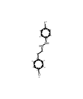 Fc1ccc(NNCCc2ccc(Cl)cc2)cc1